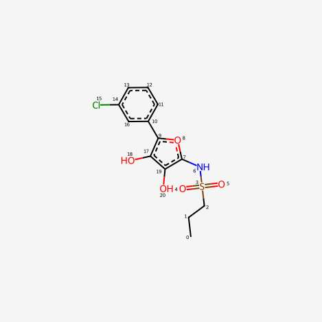 CCCS(=O)(=O)Nc1oc(-c2cccc(Cl)c2)c(O)c1O